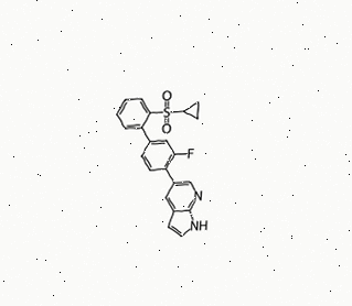 O=S(=O)(c1ccccc1-c1ccc(-c2cnc3[nH]ccc3c2)c(F)c1)C1CC1